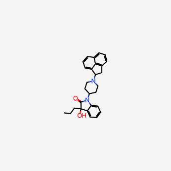 CCCC1(O)C(=O)N(C2CCN(C3Cc4cccc5cccc3c45)CC2)c2ccccc21